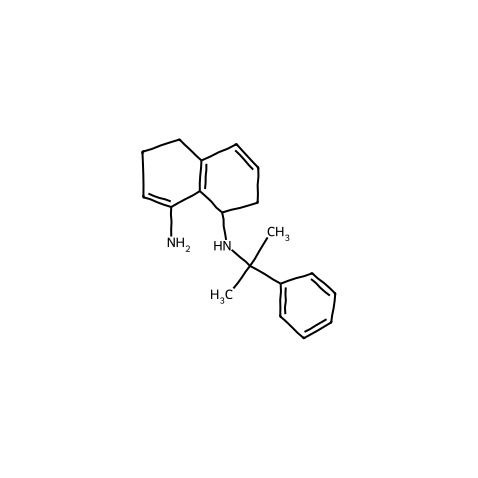 CC(C)(NC1CC=CC2=C1C(N)=CCC2)c1ccccc1